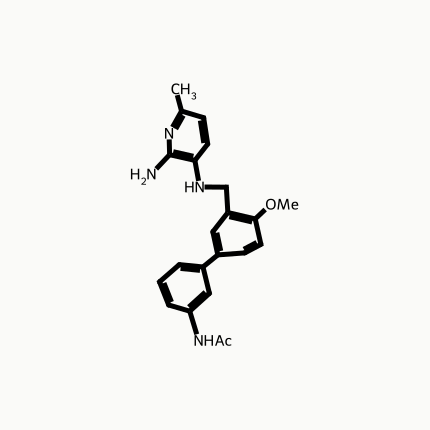 COc1ccc(-c2cccc(NC(C)=O)c2)cc1CNc1ccc(C)nc1N